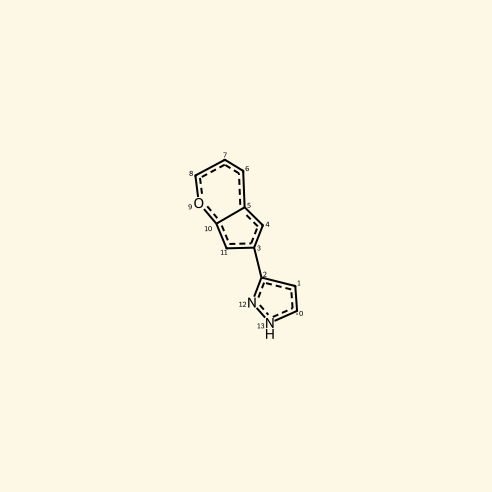 [c]1cc(-c2cc3cccoc-3c2)n[nH]1